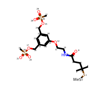 CSSC(C)(C)CCC(=O)NCCOc1cc(COS(C)(=O)=O)cc(COS(C)(=O)=O)c1